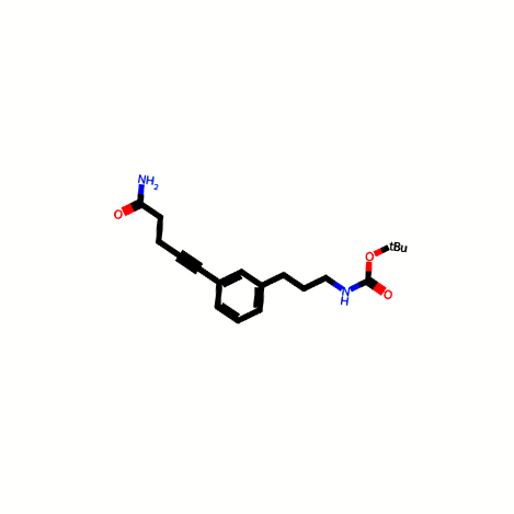 CC(C)(C)OC(=O)NCCCc1cccc(C#CCCC(N)=O)c1